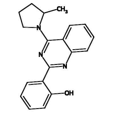 CC1CCCN1c1nc(-c2ccccc2O)nc2ccccc12